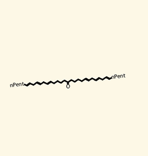 CCCCCC=CCC=CCC=CCCCCC(=O)CCCCC=CCC=CCC=CCCCCC